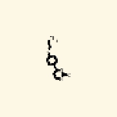 CCCOc1ccc(-c2ccnc(Cl)n2)cc1